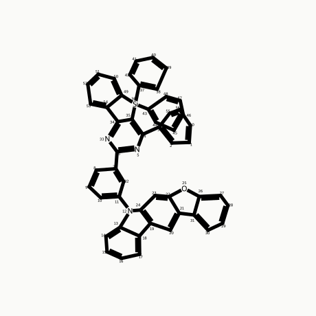 c1ccc(-c2nc(-c3cccc(-n4c5ccccc5c5cc6c(cc54)oc4ccccc46)c3)nc3c2[Si](c2ccccc2)(c2ccccc2)c2ccccc2-3)cc1